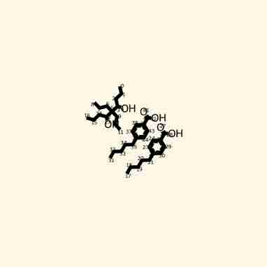 CCCC(O)C(CCC)(CCC)C(O)CCC.CCCCCc1ccc(C(=O)O)cc1.CCCCCc1ccc(C(=O)O)cc1